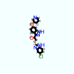 O=C(CSc1nc2cc(Cl)ccc2[nH]1)c1n[nH]c2cc(Oc3cccnc3)ccc12